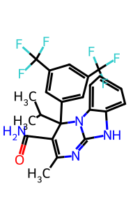 CC1=C(C(N)=O)C(c2cc(C(F)(F)F)cc(C(F)(F)F)c2)(C(C)C)N2C(=N1)Nc1ccccc12